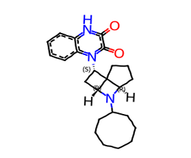 O=c1[nH]c2ccccc2n([C@H]2C[C@H]3N(C4CCCCCCC4)[C@@H]4CCCC243)c1=O